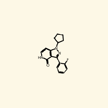 O=c1[nH]ccc2c1c(-c1ccccc1F)nn2C1CCCC1